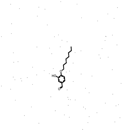 CCCCCCCCOc1ccc(C=O)cc1O